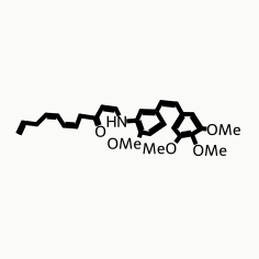 C=CC/C=C\C=C/CC(=O)/C=C\Nc1cc(/C=C\c2cc(OC)c(OC)c(OC)c2)ccc1OC